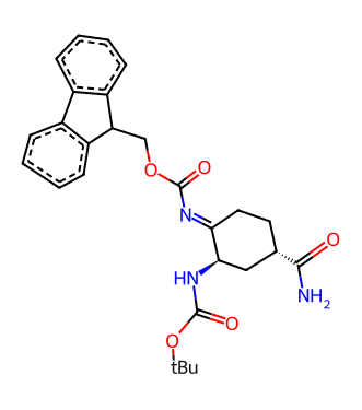 CC(C)(C)OC(=O)N[C@@H]1C[C@@H](C(N)=O)CC/C1=N\C(=O)OCC1c2ccccc2-c2ccccc21